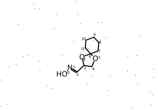 ON=CC1COC2(CCCCC2)O1